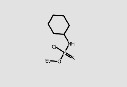 CCOP(=S)(Cl)NC1CCCCC1